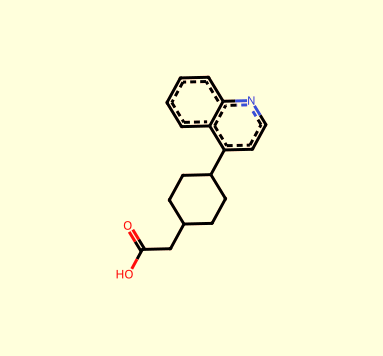 O=C(O)CC1CCC(c2ccnc3ccccc23)CC1